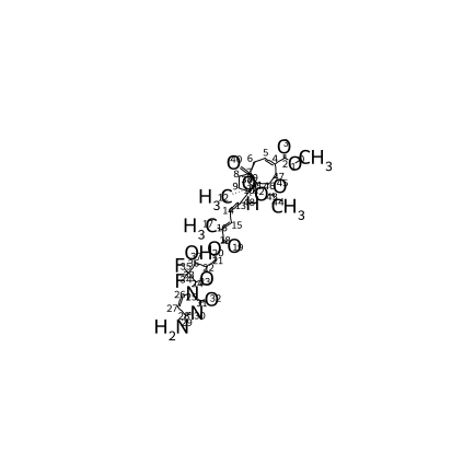 COC(=O)C1=CC[C@@]23CC[C@@H]([C@@](C)(/C=C/C=C(\C)C(=O)OC[C@H]4O[C@@H](n5ccc(N)nc5=O)C(F)(F)C4O)OC2=O)[C@@]3(OC(C)=O)CC1